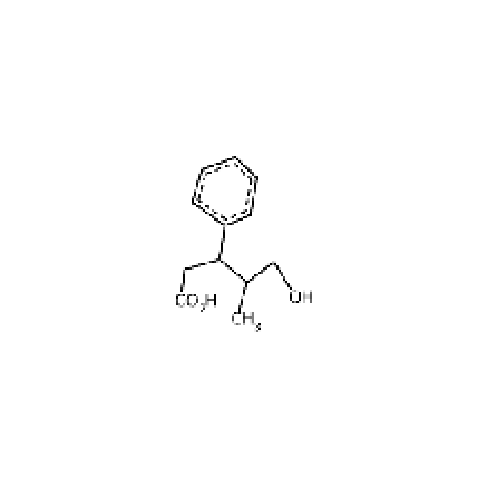 CC(CO)C(CC(=O)O)c1ccccc1